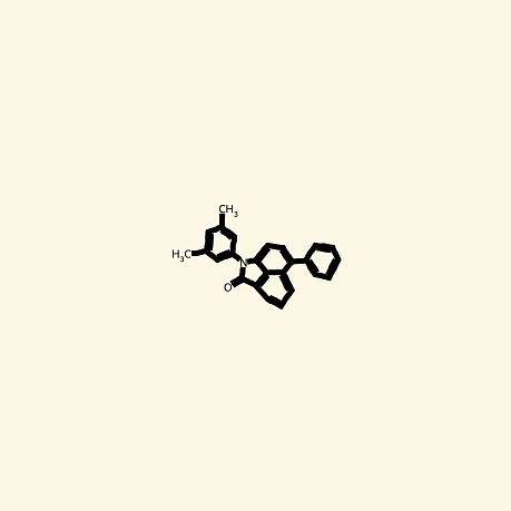 Cc1cc(C)cc(N2C(=O)c3cccc4c(-c5ccccc5)ccc2c34)c1